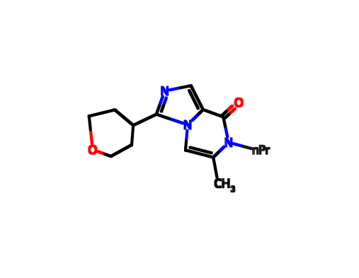 CCCn1c(C)cn2c(C3CCOCC3)ncc2c1=O